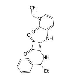 CC[C@@H](Nc1c(Nc2cccn(CC(F)(F)F)c2=O)c(=O)c1=O)c1ccccc1